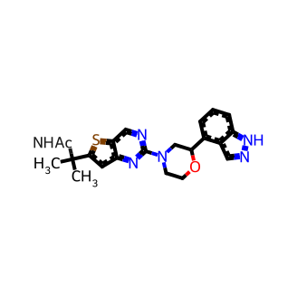 CC(=O)NC(C)(C)c1cc2nc(N3CCOC(c4cccc5[nH]ncc45)C3)ncc2s1